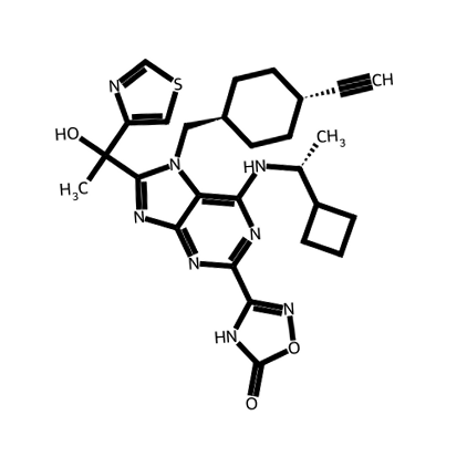 C#C[C@H]1CC[C@H](Cn2c(C(C)(O)c3cscn3)nc3nc(-c4noc(=O)[nH]4)nc(N[C@H](C)C4CCC4)c32)CC1